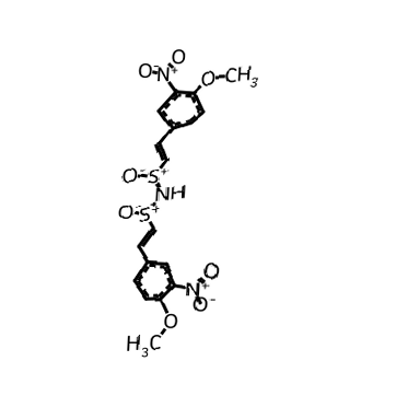 COc1ccc(C=C[S+]([O-])N[S+]([O-])C=Cc2ccc(OC)c([N+](=O)[O-])c2)cc1[N+](=O)[O-]